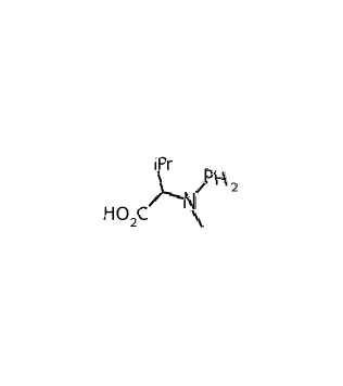 CC(C)C(C(=O)O)N(C)P